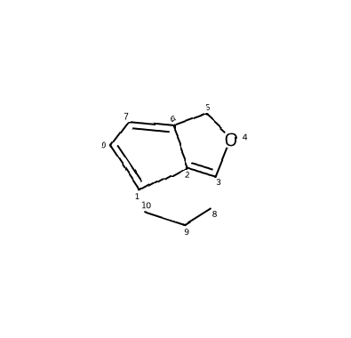 C1=CC2=COCC2=C1.CCC